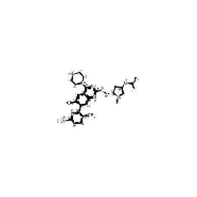 CN1C[C@H](OC(F)F)C[C@H]1COc1nc(N2CCNCC2)c2cc(Cl)c(-c3nc(N)ccc3C(F)(F)F)cc2n1